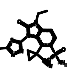 CCn1c(=O)n(-c2nnc(C)s2)c2c(C3(C#N)CC3)c(S(N)(=O)=O)ccc21